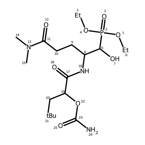 CCOP(=O)(OCC)C(O)C(CCC(=O)N(C)C)NC(=O)C(CC(C)(C)C)OC(N)=O